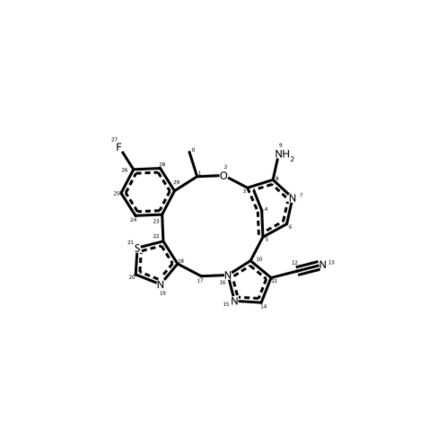 CC1Oc2cc(cnc2N)-c2c(C#N)cnn2Cc2ncsc2-c2ccc(F)cc21